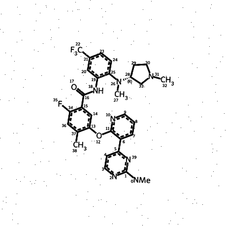 CNc1nccc(-c2cccnc2Oc2cc(C(=O)Nc3cc(C(F)(F)F)ccc3N(C)[C@@H]3CCN(C)C3)c(F)cc2C)n1